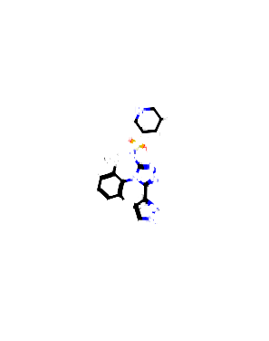 COc1cccc(OC)c1-n1c(NS(=O)(=O)[C@H]2CCCNC2)nnc1-c1ccn(C)n1